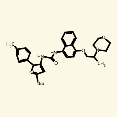 Cc1ccc(C2N=C(C(C)(C)C)C=C2NC(=O)Nc2ccc(OCC(C)N3CCOCC3)c3ccccc23)cc1